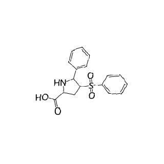 O=C(O)C1CC(S(=O)(=O)c2ccccc2)C(c2ccccc2)N1